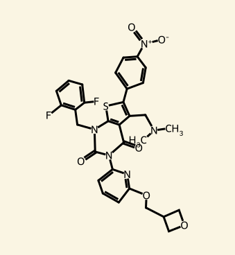 CN(C)Cc1c(-c2ccc([N+](=O)[O-])cc2)sc2c1c(=O)n(-c1cccc(OCC3COC3)n1)c(=O)n2Cc1c(F)cccc1F